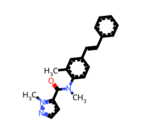 Cc1cc(/C=C/c2ccccc2)ccc1N(C)C(=O)c1ccnn1C